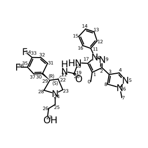 Cc1c(-c2cnn(C)c2)nn(-c2ccccc2)c1NC(=O)N[C@@H]1CN(CCO)C[C@H]1c1ccc(F)c(F)c1